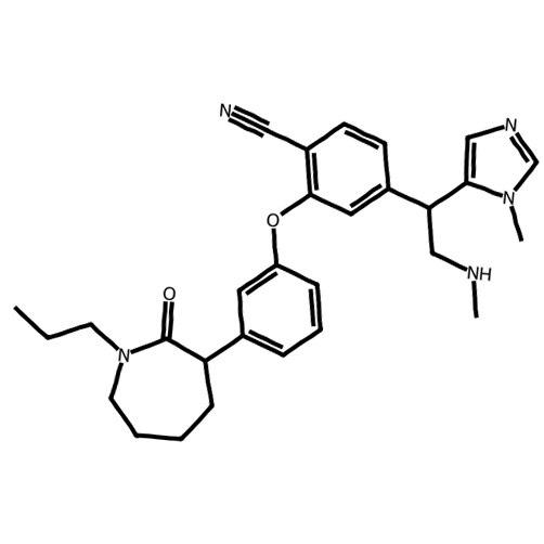 CCCN1CCCCC(c2cccc(Oc3cc(C(CNC)c4cncn4C)ccc3C#N)c2)C1=O